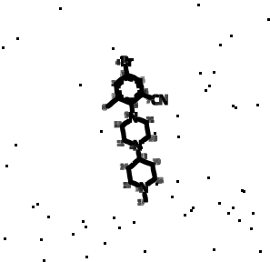 Cc1cc(Br)cc(C#N)c1N1CCN(C2CCN(C)CC2)CC1